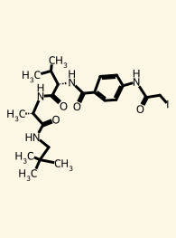 CC(C)[C@H](NC(=O)c1ccc(NC(=O)CI)cc1)C(=O)N[C@@H](C)C(=O)NCC(C)(C)C